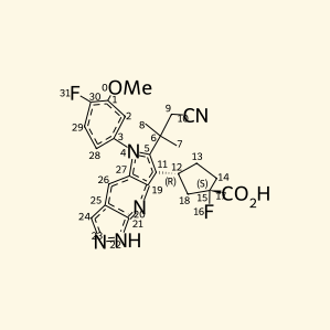 COc1cc(-n2c(C(C)(C)CC#N)c([C@@H]3CC[C@@](F)(C(=O)O)C3)c3nc4[nH]ncc4cc32)ccc1F